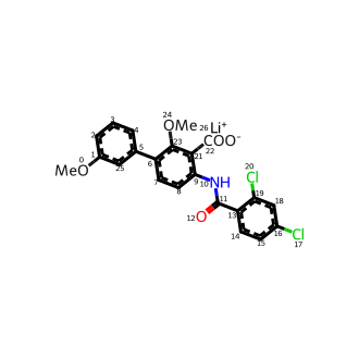 COc1cccc(-c2ccc(NC(=O)c3ccc(Cl)cc3Cl)c(C(=O)[O-])c2OC)c1.[Li+]